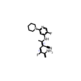 C=C(N)/C(F)=C\C(C#N)=C(/C)Nc1cc(N2CCCCC2)ncc1F